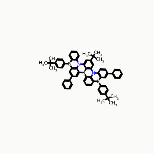 CC(C)(C)c1ccc(B2c3cc(-c4ccccc4)ccc3N3c4cc(C(C)(C)C)cc5c4B(c4cccc2c43)c2cc(-c3ccccc3)cc3c2N5c2ccccc2B3c2ccc(C(C)(C)C)cc2)cc1